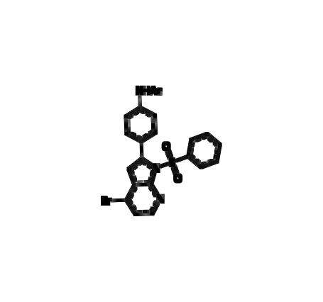 CC(=O)Nc1ccc(-c2cc3c(Br)ccnc3n2S(=O)(=O)c2ccccc2)cc1